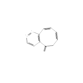 O=C1CC=CC=Cc2nnccc21